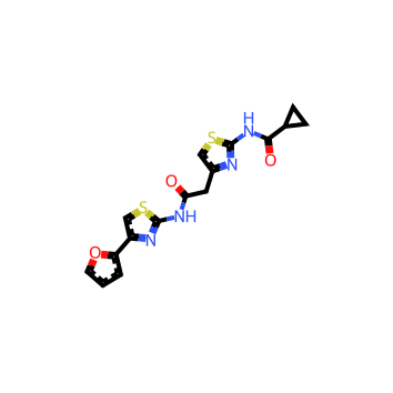 O=C(Cc1csc(NC(=O)C2CC2)n1)Nc1nc(-c2ccco2)cs1